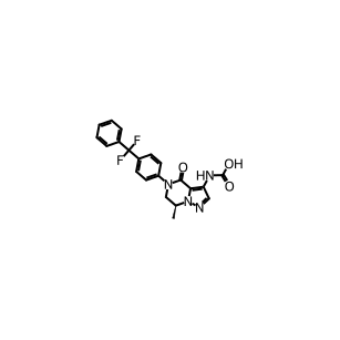 C[C@H]1CN(c2ccc(C(F)(F)c3ccccc3)cc2)C(=O)c2c(NC(=O)O)cnn21